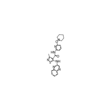 Cc1nsc(Nc2cnc3ccccc3n2)c1C(=O)Nc1cccc(ON2CCCCC2)n1